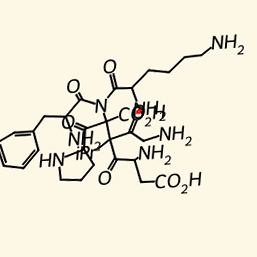 CC(C)C(C(=O)CN)(C(=O)C(N)CC(=O)O)C(C(=O)O)(C(=O)C1CCCN1)N(C(=O)C(N)CCCCN)C(=O)C(N)Cc1ccccc1